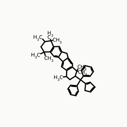 CC1CC(C(C2=CC=CC2)(c2ccccc2)c2ccccc2)C(C)(C)c2cc3c(cc21)-c1cc2c(cc1C3)C(C)(C)C(C)CC2(C)C